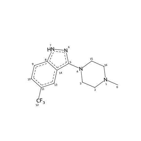 CN1CCN(c2n[nH]c3ccc(C(F)(F)F)cc23)CC1